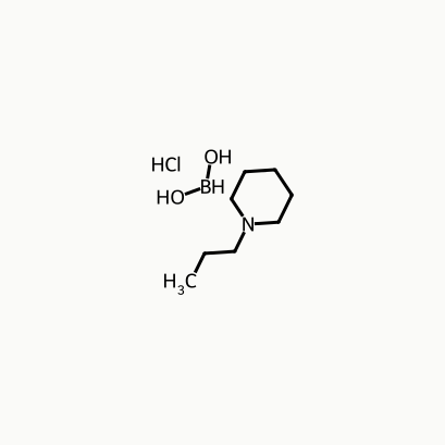 CCCN1CCCCC1.Cl.OBO